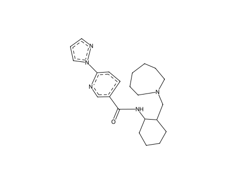 O=C(NC1CCCCC1CN1CCCCCC1)c1ccc(-n2cccn2)nc1